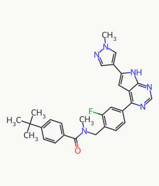 CN(Cc1ccc(-c2ncnc3[nH]c(-c4cnn(C)c4)cc23)cc1F)C(=O)c1ccc(C(C)(C)C)cc1